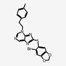 Cc1ccc(CCn2cncc3nc(Sc4cc5c(cc4Br)OCO5)nc2-3)cc1